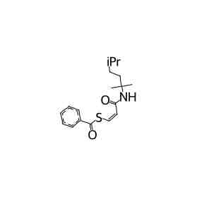 CC(C)CCC(C)(C)NC(=O)/C=C\SC(=O)c1ccccc1